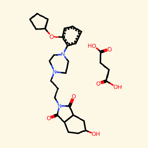 O=C(O)CCC(=O)O.O=C1C2CCC(O)CC2C(=O)N1CCCN1CCN(c2ccccc2OC2CCCC2)CC1